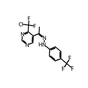 CC(=NNc1ccc(C(F)(F)F)cc1)c1cncnc1C(F)(F)Cl